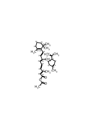 C=C(C)C1CC=C(C)CC1.CC(=O)OC(=O)/C=C(C)/C=C/C=C(C)/C=C/C1=C(C)CCCC1(C)C